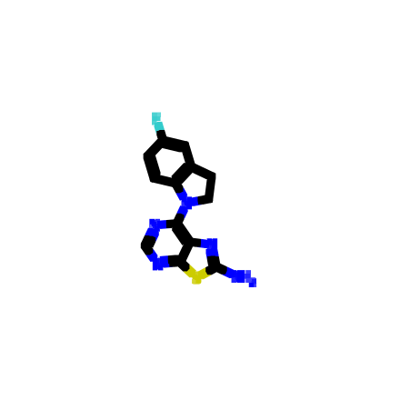 Nc1nc2c(N3CCc4cc(F)ccc43)ncnc2s1